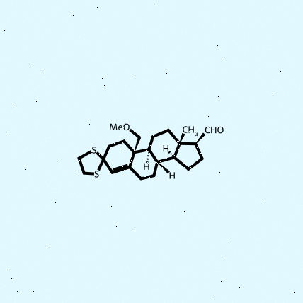 COC[C@]12CCC3(C=C1CC[C@@H]1[C@@H]2CC[C@]2(C)[C@@H](C=O)CC[C@@H]12)SCCS3